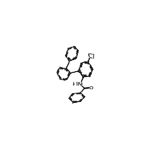 O=C(Nc1ccc(Cl)cc1-c1ccccc1-c1ccccc1)c1ccccc1